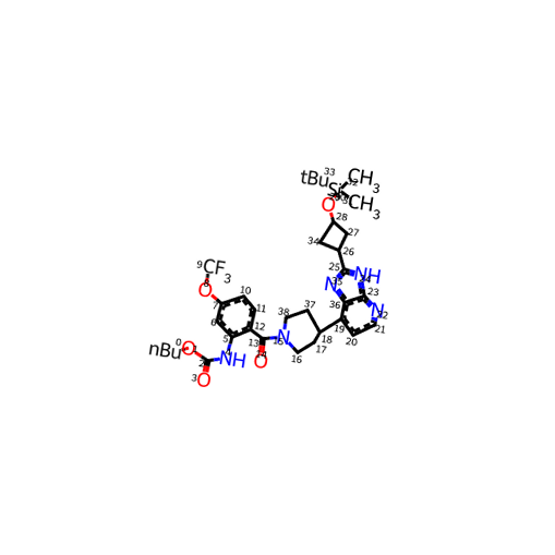 CCCCOC(=O)Nc1cc(OC(F)(F)F)ccc1C(=O)N1CCC(c2ccnc3[nH]c(C4CC(O[Si](C)(C)C(C)(C)C)C4)nc23)CC1